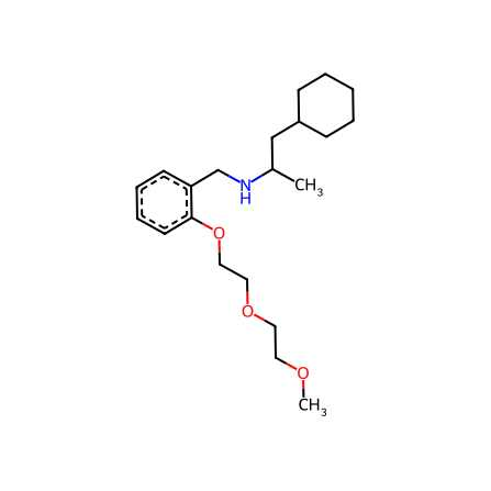 COCCOCCOc1ccccc1CNC(C)CC1CCCCC1